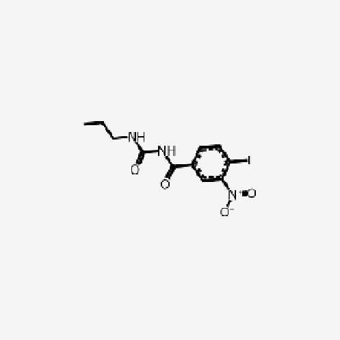 CCCNC(=O)NC(=O)c1ccc(I)c([N+](=O)[O-])c1